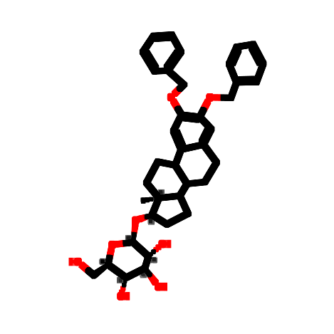 C[C@]12CCC3c4cc(OCc5ccccc5)c(OCc5ccccc5)cc4CCC3C1CC[C@H]2O[C@@H]1O[C@H](CO)[C@@H](O)[C@H](O)[C@H]1O